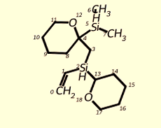 C=C[SiH](CC1([SiH](C)C)CCCCO1)C1CCCCO1